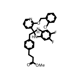 COC(=O)CCc1ccc(CC2(c3cccnc3OCc3ccccc3Cl)Nc3cc(F)c(F)cc3N2)cc1